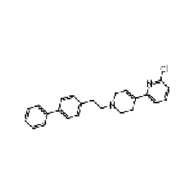 Clc1cccc(C2=CCN(CCc3ccc(-c4ccccc4)cc3)CC2)n1